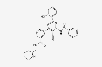 N#Cc1c(-c2cccc(C(=O)NCC3CCCCN3)c2)cc(-c2ccccc2O)nc1NC(=O)c1ccncc1